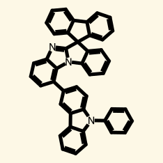 c1ccc(-n2c3ccccc3c3cc(-c4cccc5nc6n(c45)-c4ccccc4C64c5ccccc5-c5ccccc54)ccc32)cc1